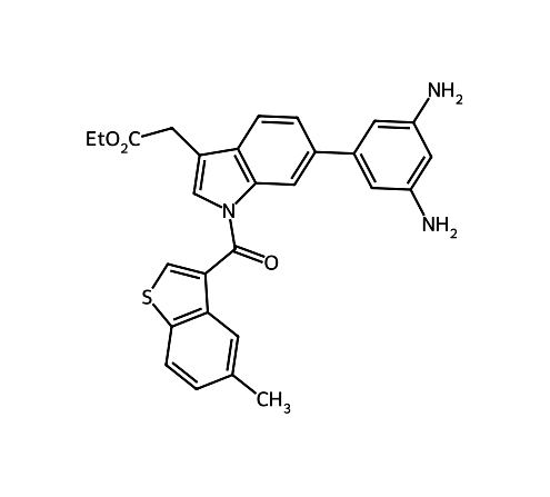 CCOC(=O)Cc1cn(C(=O)c2csc3ccc(C)cc23)c2cc(-c3cc(N)cc(N)c3)ccc12